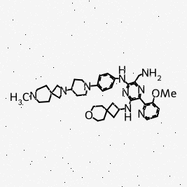 COc1cccnc1-c1nc(CN)c(Nc2ccc(N3CCC(N4CC5(CCN(C)CC5)C4)CC3)cc2)nc1NC1CC2(CCOCC2)C1